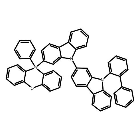 c1ccc(-c2ccccc2-n2c3ccccc3c3ccc(-n4c5ccccc5c5ccc([Si]6(c7ccccc7)c7ccccc7Oc7ccccc76)cc54)cc32)cc1